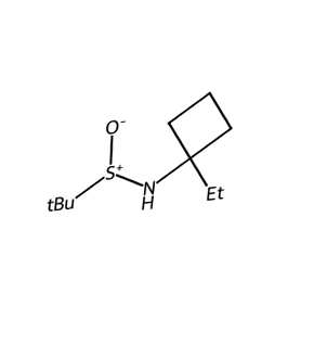 CCC1(N[S+]([O-])C(C)(C)C)CCC1